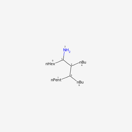 CCCCCCC(N)C(CCCC)C(CCCC)CCCCC